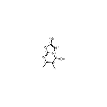 Cc1nc2sc(Br)nn2c(=O)c1C